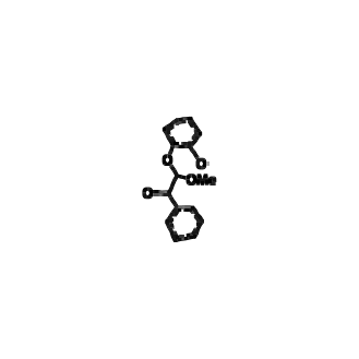 COC(Oc1ccccc1[O])C(=O)c1ccccc1